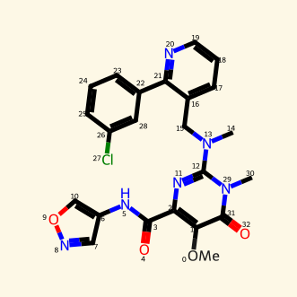 COc1c(C(=O)Nc2cnoc2)nc(N(C)Cc2cccnc2-c2cccc(Cl)c2)n(C)c1=O